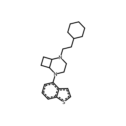 c1cc(N2CCN(CCC3CCCCC3)C3CCC32)c2ccsc2c1